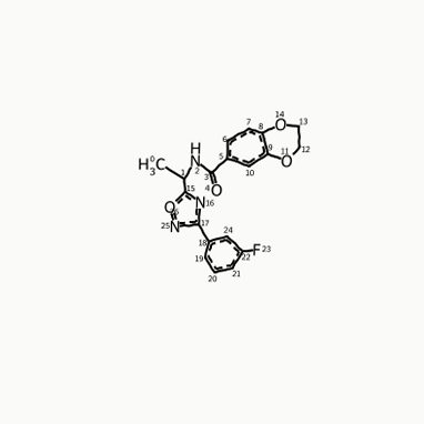 CC(NC(=O)c1ccc2c(c1)OCCO2)c1nc(-c2cccc(F)c2)no1